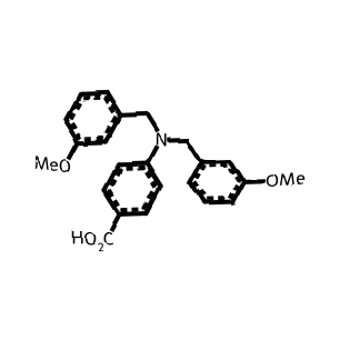 COc1cccc(CN(Cc2cccc(OC)c2)c2ccc(C(=O)O)cc2)c1